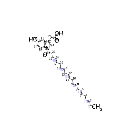 CC/C=C/C/C=C/C/C=C/C/C=C/C/C=C/C/C=C/CCC(=O)n1cc(CC(=O)O)c2cc(O)ccc21